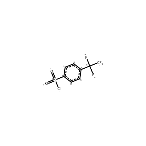 O=S(=O)(Cl)c1ccc(C(F)(F)C(F)(F)F)cc1